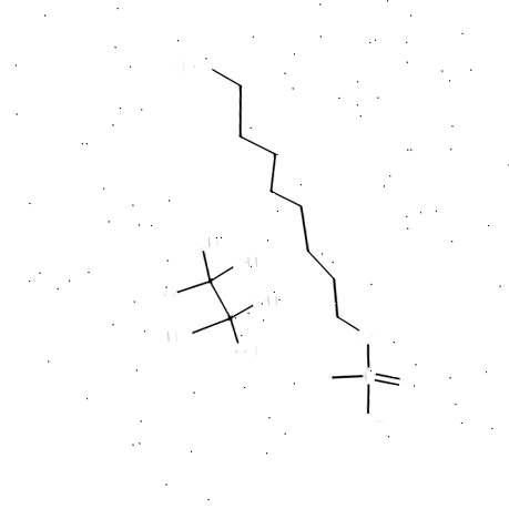 CCCCCCCCCCCCCCCCCCOP(=O)(O)O.OC(O)(O)C(O)(O)O